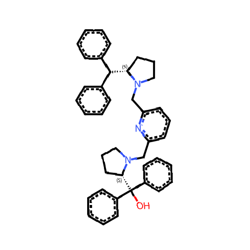 OC(c1ccccc1)(c1ccccc1)[C@@H]1CCCN1Cc1cccc(CN2CCC[C@H]2C(c2ccccc2)c2ccccc2)n1